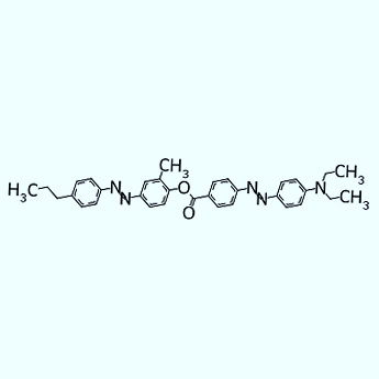 CCCc1ccc(N=Nc2ccc(OC(=O)c3ccc(N=Nc4ccc(N(CC)CC)cc4)cc3)c(C)c2)cc1